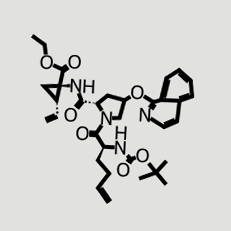 C=CCC[C@H](NC(=O)OC(C)(C)C)C(=O)N1CC(Oc2nccc3ccccc23)C[C@H]1C(=O)N[C@]1(C(=O)OCC)C[C@H]1C=C